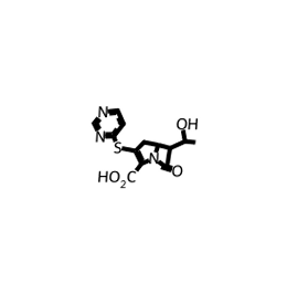 CC(O)C1C(=O)N2C(C(=O)O)=C(Sc3ccncn3)CC12